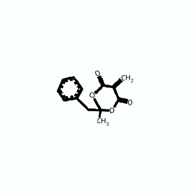 C=C1C(=O)OC(C)(Cc2ccccc2)OC1=O